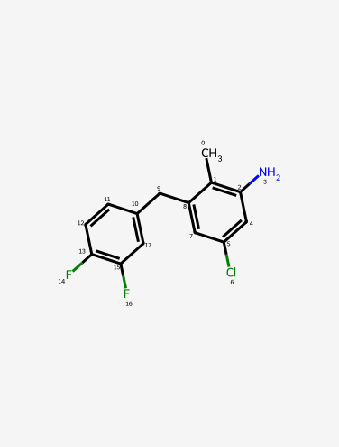 Cc1c(N)cc(Cl)cc1Cc1ccc(F)c(F)c1